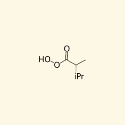 CC(C)C(C)C(=O)OO